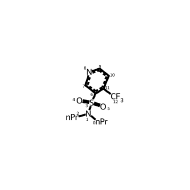 CCCN(CCC)S(=O)(=O)c1cnccc1C(F)(F)F